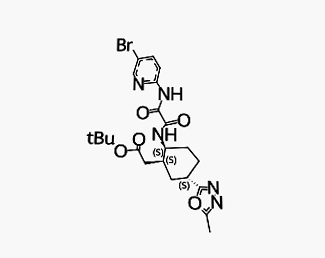 Cc1nnc([C@H]2CC[C@H](NC(=O)C(=O)Nc3ccc(Br)cn3)[C@H](CC(=O)OC(C)(C)C)C2)o1